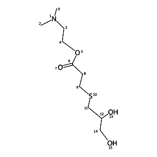 CN(C)CCOC(=O)CCSCC(O)CO